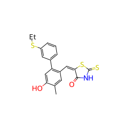 CCSc1cccc(-c2cc(O)c(C)cc2C=C2SC(=S)NC2=O)c1